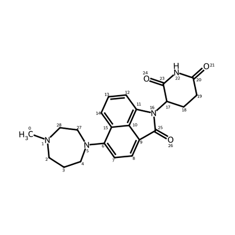 CN1CCCN(c2ccc3c4c(cccc24)N(C2CCC(=O)NC2=O)C3=O)CC1